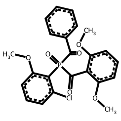 COc1cccc(OC)c1C(=O)P(=O)(C(=O)c1ccccc1)c1c(Cl)cccc1OC